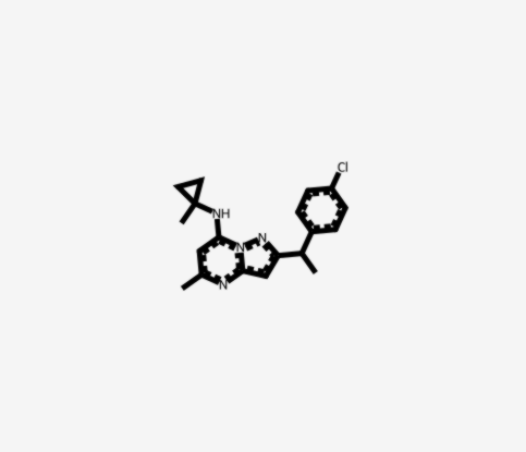 Cc1cc(NC2(C)CC2)n2nc(C(C)c3ccc(Cl)cc3)cc2n1